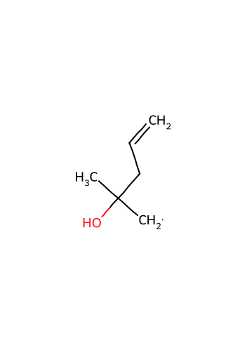 [CH2]C(C)(O)CC=C